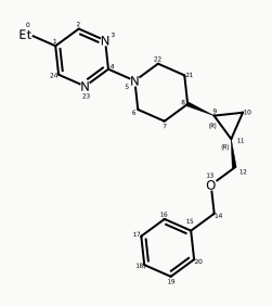 CCc1cnc(N2CCC([C@H]3C[C@H]3COCc3cc[c]cc3)CC2)nc1